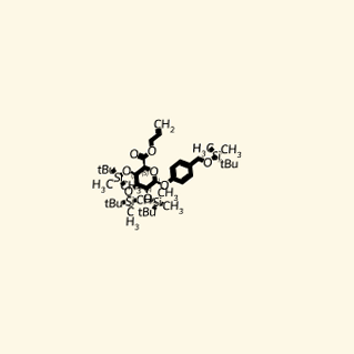 C=CCOC(=O)[C@H]1O[C@@H](Oc2ccc(CO[Si](C)(C)C(C)(C)C)cc2)[C@H](O[Si](C)(C)C(C)(C)C)[C@@H](O[Si](C)(C)C(C)(C)C)[C@H]1O[Si](C)(C)C(C)(C)C